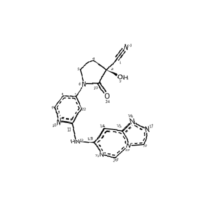 N#C[C@@]1(O)CCN(c2ccnc(Nc3cc4nncn4cn3)c2)C1=O